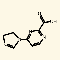 O=C(O)c1nccc(N2C=NCC2)n1